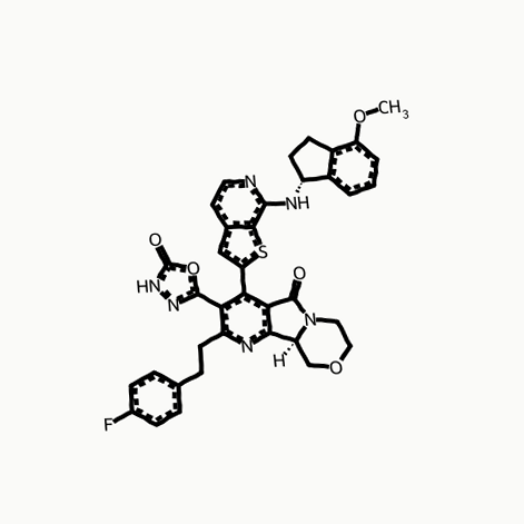 COc1cccc2c1CC[C@H]2Nc1nccc2cc(-c3c4c(nc(CCc5ccc(F)cc5)c3-c3n[nH]c(=O)o3)[C@@H]3COCCN3C4=O)sc12